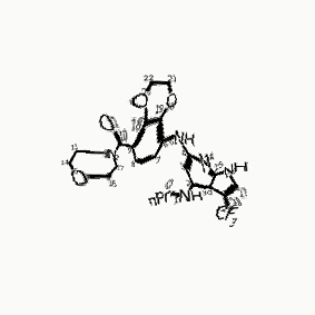 CCCNc1cc(Nc2ccc(C(=O)N3CCOCC3)c3c2OCCO3)nc2[nH]cc(C(F)(F)F)c12